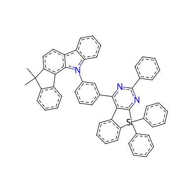 CC1(C)c2ccccc2-c2c1ccc1c3ccccc3n(-c3cccc(-c4nc(-c5ccccc5)nc5c4-c4ccccc4[Si]5(c4ccccc4)c4ccccc4)c3)c21